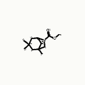 COC(=O)N1CC2(C)CC1CC(C)(C)C2